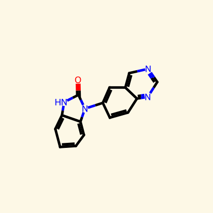 O=c1[nH]c2ccccc2n1-c1ccc2ncncc2c1